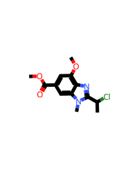 COC(=O)c1cc(OC)c2nc(C(C)Cl)n(C)c2c1